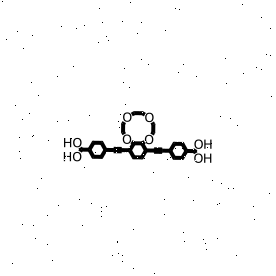 OC(O)C1CCC(C#CC2CCC(C#CC3CCC(C(O)O)CC3)C3OCCOCCOCCOC23)CC1